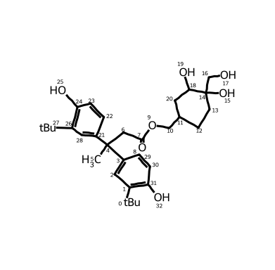 CC(C)(C)c1cc(C(C)(CC(=O)OCC2CCC(O)(CO)C(O)C2)c2ccc(O)c(C(C)(C)C)c2)ccc1O